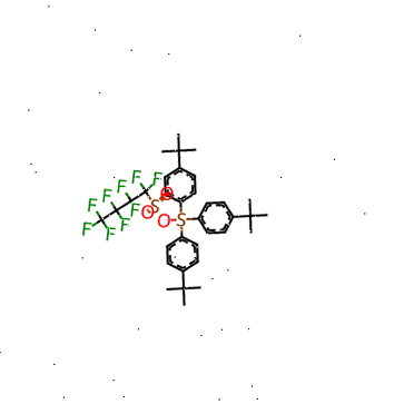 CC(C)(C)c1ccc(S(OS(=O)(=O)C(F)(F)C(F)(F)C(F)(F)C(F)(F)F)(c2ccc(C(C)(C)C)cc2)c2ccc(C(C)(C)C)cc2)cc1